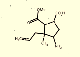 C=CCC1(C)C(N)CN(C(=O)O)C1C(=O)OC